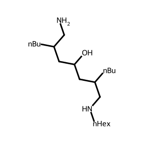 CCCCCCNCC(CCCC)CC(O)CC(CN)CCCC